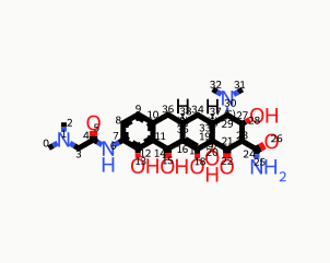 CN(C)CC(=O)Nc1ccc2c(c1O)C(=O)C1=C(O)[C@]3(O)C(=O)C(C(N)=O)C(O)[C@@H](N(C)C)[C@@H]3C[C@@H]1C2